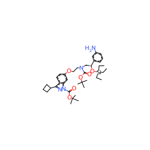 CC[Si](CC)(CC)O[C@@H](CN(CCOc1ccc2c(C3CCC3)nn(C(=O)OC(C)(C)C)c2c1)C(=O)OC(C)(C)C)c1cccc(N)c1